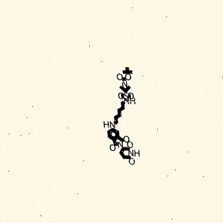 CC(C)(C)OC(=O)N1CC(S(=O)(=O)NCCCCCCNc2ccc3c(c2)C(=O)N(C2CCC(=O)NC2=O)C3=O)C1